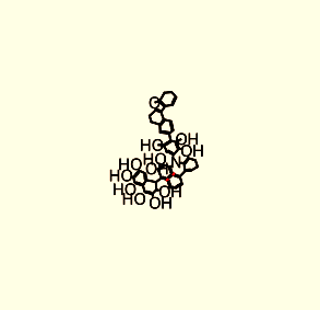 OC1=C(O)C(O)C(c2ccc(N(C3=CCCC=C3c3ccccc3)c3c(O)c(O)c(-c4ccc5c(c4)CCc4oc6c(c4-5)C=CCC6)c(O)c3O)cc2)c2c(O)c(O)c(O)c(O)c21